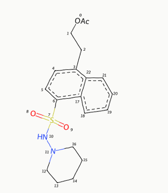 CC(=O)OCCc1ccc(S(=O)(=O)NN2CCCCC2)c2ccccc12